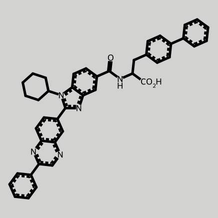 O=C(NC(Cc1ccc(-c2ccccc2)cc1)C(=O)O)c1ccc2c(c1)nc(-c1ccc3nc(-c4ccccc4)cnc3c1)n2C1CCCCC1